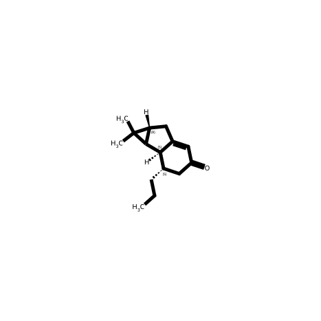 CCC[C@H]1CC(=O)C=C2C[C@@H]3C([C@@H]21)C3(C)C